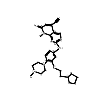 C#Cc1cc(=O)n(C)c2nc(Nc3ccc(N4CCN(C)CC4)c(OCCC4CCCC4)c3)ncc12